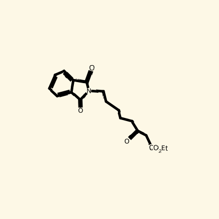 CCOC(=O)CC(=O)CCCCCN1C(=O)c2ccccc2C1=O